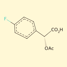 CC(=O)O[C@@H](C(=O)O)c1ccc(F)cc1